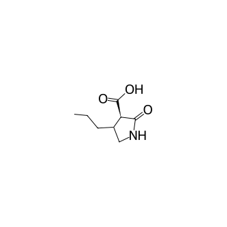 CCCC1CNC(=O)[C@@H]1C(=O)O